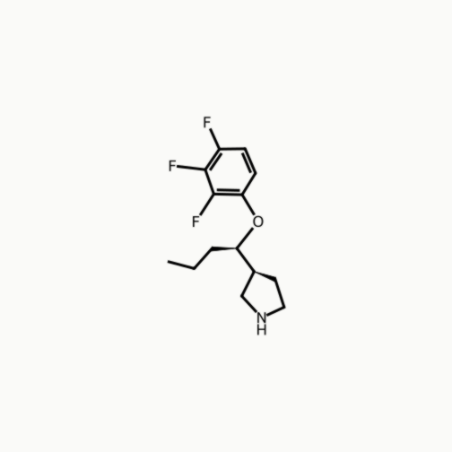 CCC[C@@H](Oc1ccc(F)c(F)c1F)[C@H]1CCNC1